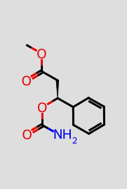 COC(=O)C[C@H](OC(N)=O)C1C=CC=CC1